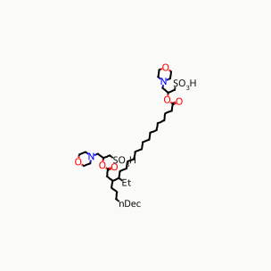 CCCCCCCCCCCCCC(CC(=O)OC(CN1CCOCC1)CS(=O)(=O)O)C(CC)CCCCCCCCCCCCCCC(=O)OC(CN1CCOCC1)CS(=O)(=O)O